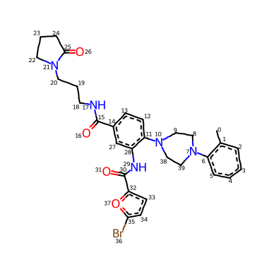 Cc1ccccc1N1CCN(c2ccc(C(=O)NCCCN3CCCC3=O)cc2NC(=O)c2ccc(Br)o2)CC1